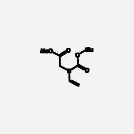 C=CN(CC(=O)OC)C(=O)OC(C)(C)C